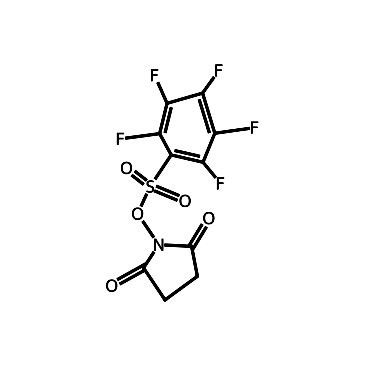 O=C1CCC(=O)N1OS(=O)(=O)c1c(F)c(F)c(F)c(F)c1F